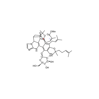 COC(=O)/C(C)=C\CC12OC(C)(C)C3CC(C1=O)C1C4=C(Nc5nccn51)c1c(O[C@@H]5O[C@H](CO)[C@@H](O)[C@H](O)[C@H]5O)c5c(c(CC=C(C)C)c1OC432)OC(C)(CCC=C(C)C)C=C5